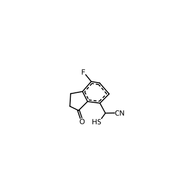 N#CC(S)c1ccc(F)c2c1C(=O)CC2